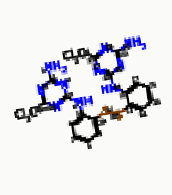 Nc1nc(Nc2ccccc2SSc2ccccc2Nc2nc(N)nc(C(Cl)(Cl)Cl)n2)nc(C(Cl)(Cl)Cl)n1